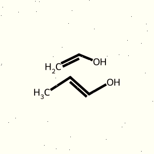 C/C=C/O.C=CO